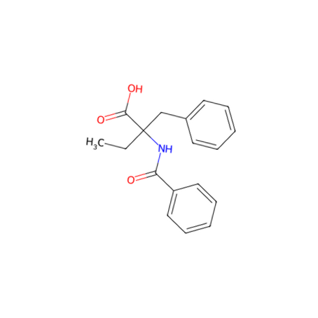 CCC(Cc1ccccc1)(NC(=O)c1ccccc1)C(=O)O